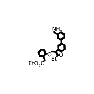 CCOC(=O)Cc1ccccc1OCc1c(CC)oc2ccc(-c3cccc(CN)c3)cc12